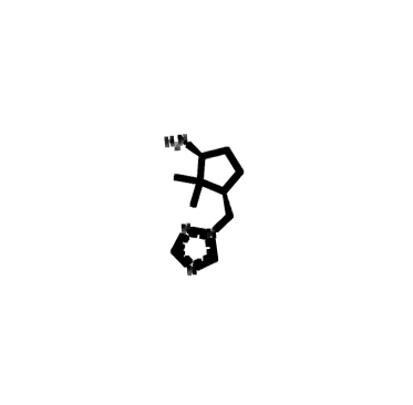 CC1(C)[C@H](Cn2cncn2)CC[C@@H]1N